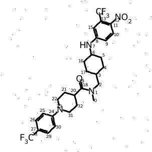 CN(CC1CCC(Nc2ccc([N+](=O)[O-])c(C(F)(F)F)c2)CC1)C(=O)C1CCN(c2ccc(C(F)(F)F)cc2)CC1